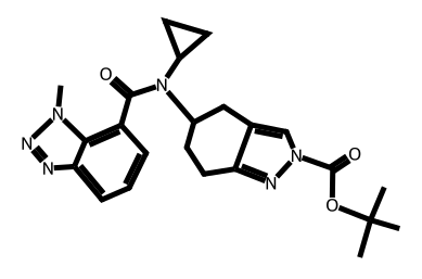 Cn1nnc2cccc(C(=O)N(C3CC3)C3CCc4nn(C(=O)OC(C)(C)C)cc4C3)c21